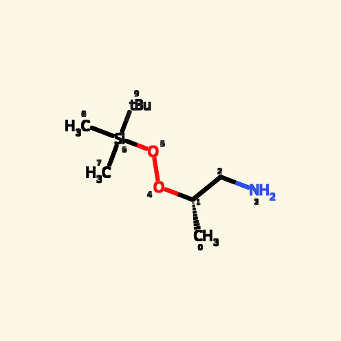 C[C@@H](CN)OO[Si](C)(C)C(C)(C)C